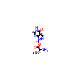 CCCCC(N)C(=O)OCn1ncc2c(=O)[nH]cnc21